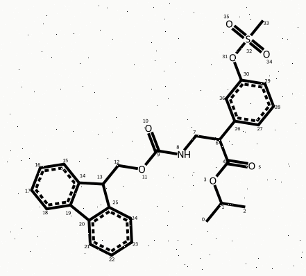 CC(C)OC(=O)C(CNC(=O)OCC1c2ccccc2-c2ccccc21)c1cccc(OS(C)(=O)=O)c1